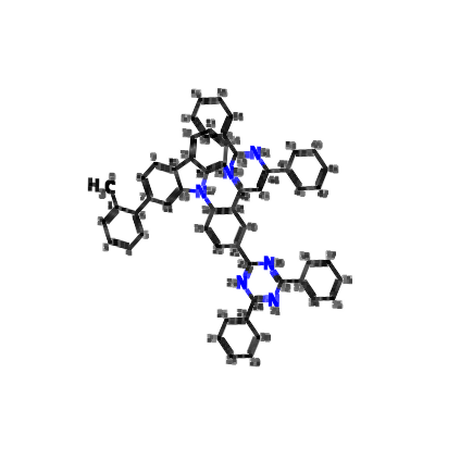 Cc1ccccc1-c1ccc2c3ccccc3n(-c3ccc(-c4nc(-c5ccccc5)nc(-c5ccccc5)n4)cc3-c3cc(-c4ccccc4)nc(-c4ccccc4)n3)c2c1